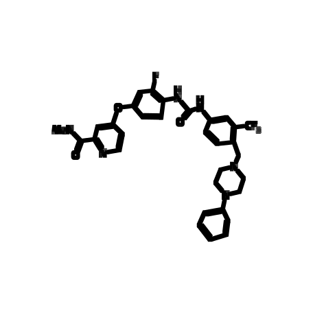 CNC(=O)c1cc(Oc2ccc(NC(=O)Nc3ccc(CN4CCN(c5ccccc5)CC4)c(C(F)(F)F)c3)c(F)c2)ccn1